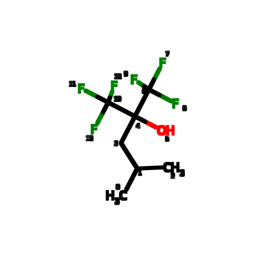 CC(C)CC(O)(C(F)(F)F)C(F)(F)F